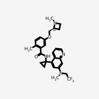 Cc1ccc(OC[C@@H]2CCN2C)cc1C(=O)NC1(c2cc(N(C)CC(F)(F)F)cc3ncccc23)CC1